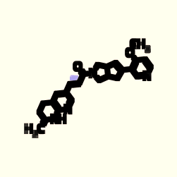 C=C1CCc2cc(/C=C/C(=O)N3CC4C=C(c5cnccc5OC)CC4C3)cnc2N1